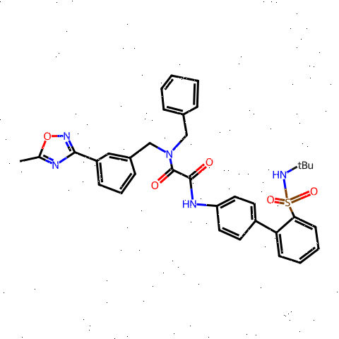 Cc1nc(-c2cccc(CN(Cc3ccccc3)C(=O)C(=O)Nc3ccc(-c4ccccc4S(=O)(=O)NC(C)(C)C)cc3)c2)no1